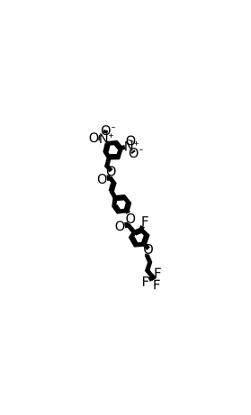 O=C(/C=C/c1ccc(OC(=O)c2ccc(OCCCC(F)(F)F)cc2F)cc1)OCc1cc([N+](=O)[O-])cc([N+](=O)[O-])c1